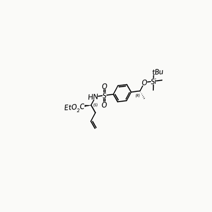 C=CC[C@H](NS(=O)(=O)c1ccc([C@@H](C)O[Si](C)(C)C(C)(C)C)cc1)C(=O)OCC